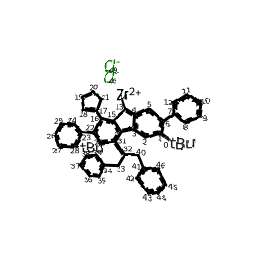 CC(C)(C)c1cc2c(cc1-c1ccccc1)=[C]([Zr+2])c1c(C3=CC=CC3)c(-c3ccccc3)c(C(C)(C)C)c(=C(Cc3ccccc3)Cc3ccccc3)c1=2.[Cl-].[Cl-]